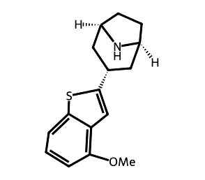 COc1cccc2sc([C@@H]3C[C@H]4CC[C@@H](C3)N4)cc12